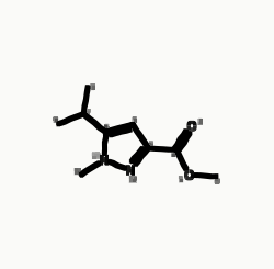 COC(=O)c1cc(C(C)C)n(C)n1